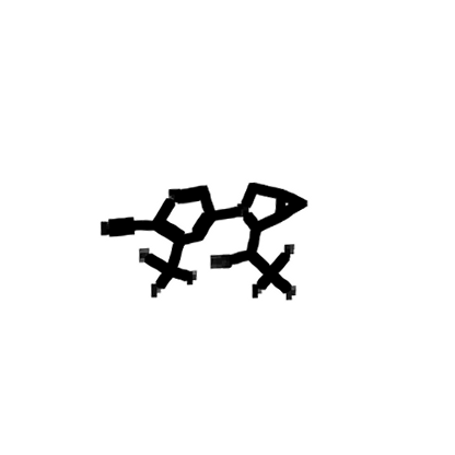 N#Cc1ncc(N2CC3CC3C2C(O)C(F)(F)F)cc1C(F)(F)F